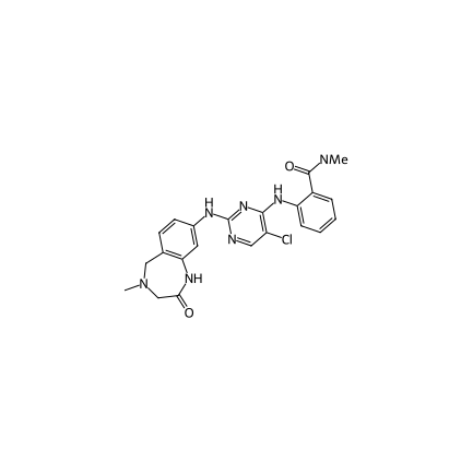 CNC(=O)c1ccccc1Nc1nc(Nc2ccc3c(c2)NC(=O)CN(C)C3)ncc1Cl